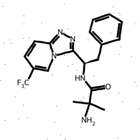 CC(C)(N)C(=O)N[C@H](Cc1ccccc1)c1nnc2ccc(C(F)(F)F)cn12